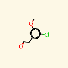 COc1cc(Cl)cc(C[C]=O)c1